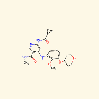 CNC(=O)c1cnc(NC(=O)C2CC2)cc1Nc1cccc(OC2CCOCC2)c1OC